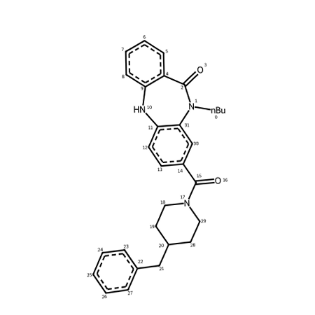 CCCCN1C(=O)c2ccccc2Nc2ccc(C(=O)N3CCC(Cc4ccccc4)CC3)cc21